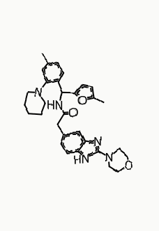 Cc1ccc(C(NC(=O)Cc2ccc3[nH]c(N4CCOCC4)nc3c2)c2ccc(C)o2)c(N2CCCCC2)c1